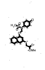 COC(=O)CSc1cc(OCN(c2ccc(Cl)cc2)S(C)(=O)=O)c2ccccc2c1